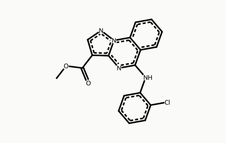 COC(=O)c1cnn2c1nc(Nc1ccccc1Cl)c1ccccc12